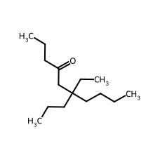 CCCCC(CC)(CCC)CC(=O)CCC